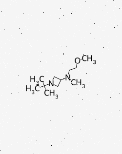 COCCN(C)C1CN(C(C)(C)C)C1